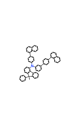 CC1(c2ccccc2)c2ccccc2-c2c(N(c3ccc(-c4cccc5ccccc45)cc3)c3cccc(-c4ccc(-c5cccc6ccccc56)cc4)c3)cccc21